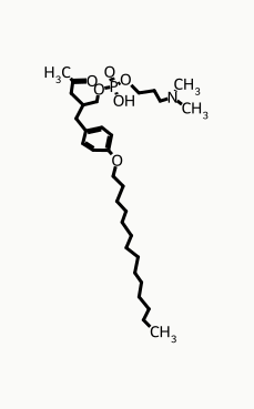 CCCCCCCCCCCCCCOc1ccc(CC(COP(=O)(O)OCCCN(C)C)CC(C)=O)cc1